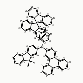 CC1(C)c2ccccc2-c2ccc(N(c3ccc(-c4cccc5c4C4(c6ccccc6-c6ccccc64)c4ccccc4-5)cc3)c3ccc4c5ccccc5c5ccccc5c4c3)cc21